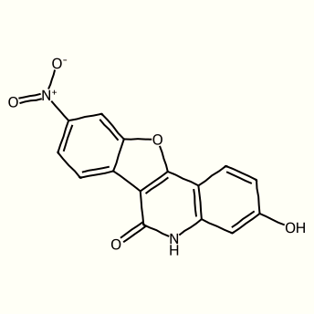 O=c1[nH]c2cc(O)ccc2c2oc3cc([N+](=O)[O-])ccc3c12